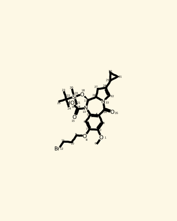 COc1cc2c(cc1OCCCBr)N(C(=O)O)[C@@H](O[Si](C)(C)C(C)(C)C)C1CC(C3CC3)=CN1C2=O